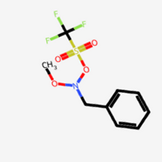 CON(Cc1ccccc1)OS(=O)(=O)C(F)(F)F